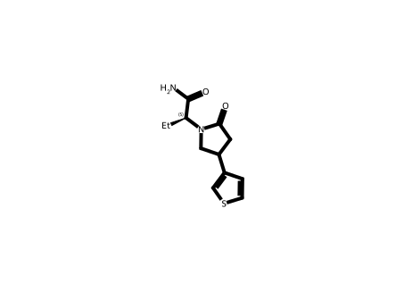 CC[C@@H](C(N)=O)N1CC(c2ccsc2)CC1=O